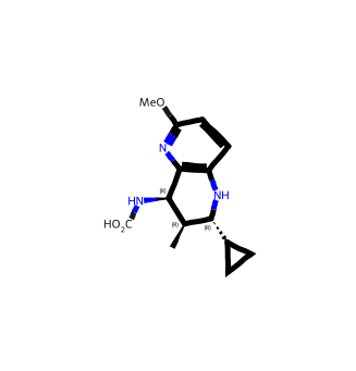 COc1ccc2c(n1)[C@H](NC(=O)O)[C@H](C)[C@@H](C1CC1)N2